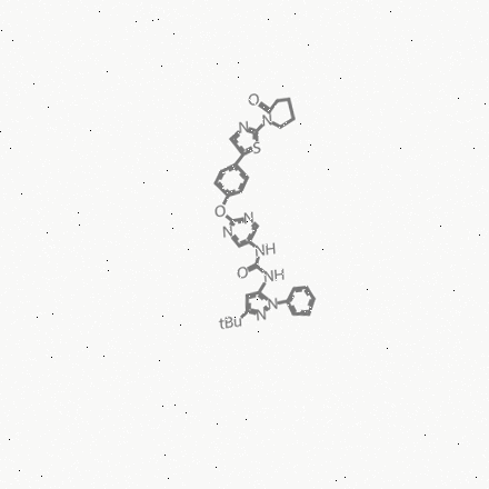 CC(C)(C)c1cc(NC(=O)Nc2cnc(Oc3ccc(-c4cnc(N5CCCCC5=O)s4)cc3)nc2)n(-c2ccccc2)n1